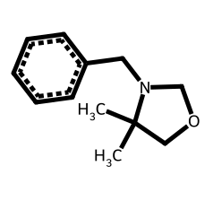 CC1(C)COCN1Cc1ccccc1